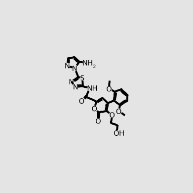 COc1cccc(OC)c1-c1cc(C(=O)Nc2nnc(-n3nccc3N)s2)oc(=O)c1OCCO